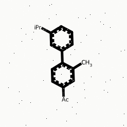 CC(=O)c1ccc(-c2cccc(C(C)C)c2)c(C)c1